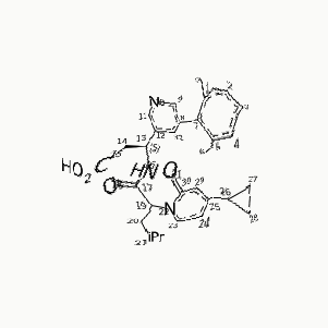 Cc1cccc(C)c1-c1cncc([C@H](CC(=O)O)NC(=O)C(CC(C)C)n2ccc(C3CC3)cc2=O)c1